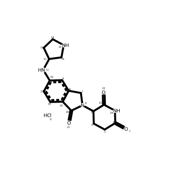 Cl.O=C1CCC(N2Cc3cc(NC4CCNC4)ccc3C2=O)C(=O)N1